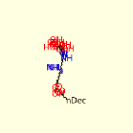 CCCCCCCCCCCCCCCC(=O)OCC(CO)OC(=O)CCCCCCCCCCCCCCCNc1ccn([C@@H]2O[C@H](C(O)OP(=O)(O)OP(=O)(O)O)[C@@H](O)[C@@H]2O)c(=O)n1.N.N